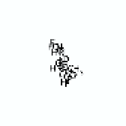 Cc1ccccc1-c1nc(NS(=O)(=O)c2cccc(N3CCN4CC(F)(F)C[C@H]4C3)n2)ccc1C(F)(F)F